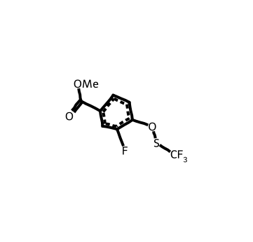 COC(=O)c1ccc(OSC(F)(F)F)c(F)c1